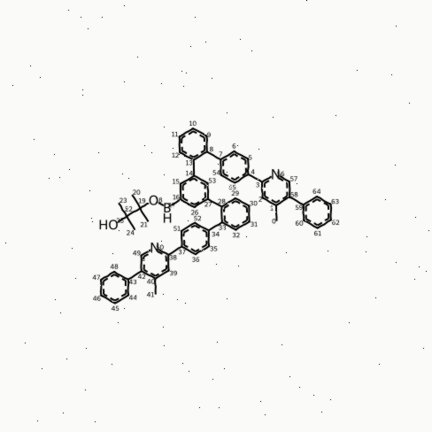 Cc1cc(-c2ccc(-c3ccccc3-c3cc(BOC(C)(C)C(C)(C)O)cc(-c4ccccc4-c4ccc(-c5cc(C)c(-c6ccccc6)cn5)cc4)c3)cc2)ncc1-c1ccccc1